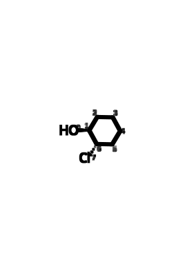 O[C@H]1CCCC[C@@H]1Cl